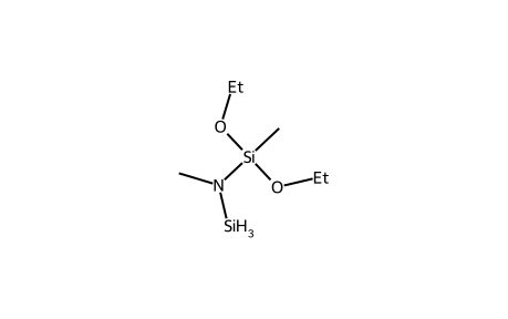 CCO[Si](C)(OCC)N(C)[SiH3]